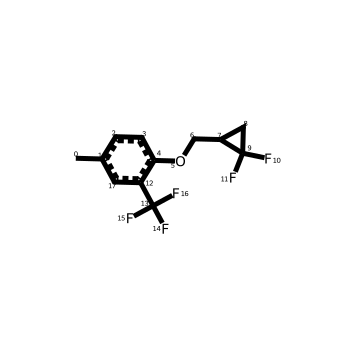 Cc1ccc(OCC2CC2(F)F)c(C(F)(F)F)c1